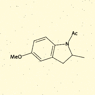 COc1ccc2c(c1)CC(C)N2C(C)=O